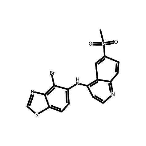 CS(=O)(=O)c1ccc2nccc(Nc3ccc4scnc4c3Br)c2c1